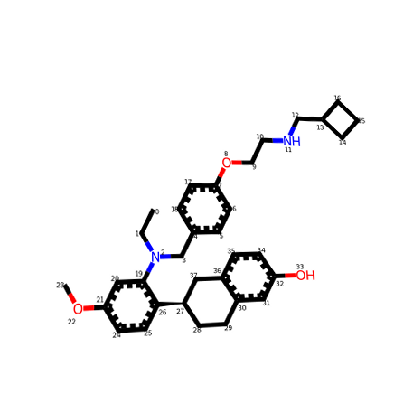 CCN(Cc1ccc(OCCNCC2CCC2)cc1)c1cc(OC)ccc1[C@@H]1CCc2cc(O)ccc2C1